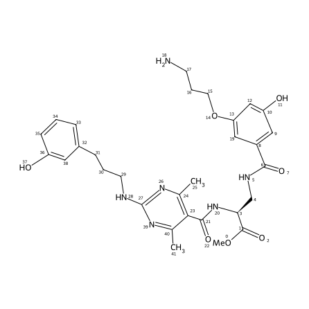 COC(=O)[C@H](CNC(=O)c1cc(O)cc(OCCCN)c1)NC(=O)c1c(C)nc(NCCCc2cccc(O)c2)nc1C